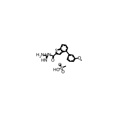 COc1cccc(-c2cccc3sc(C(=O)NC(=N)N)cc23)c1.CS(=O)(=O)O